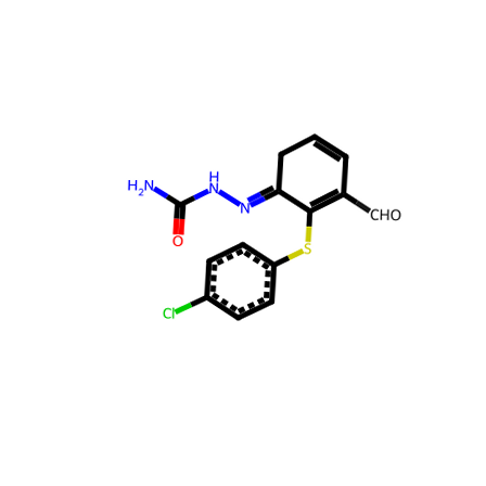 NC(=O)NN=C1CC=CC(C=O)=C1Sc1ccc(Cl)cc1